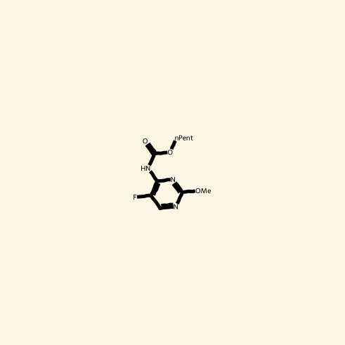 CCCCCOC(=O)Nc1nc(OC)ncc1F